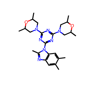 Cc1cc2nc(C)n(-c3nc(N4CC(C)OC(C)C4)nc(N4CC(C)OC(C)C4)n3)c2cc1C